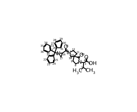 CC(C)C(C(=O)O)N1CCC2(CCN(C(=O)C3C[N@@]3C(c3ccccc3)(c3ccccc3)c3ccccc3)C2)C1=O